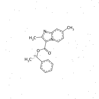 Cc1ccn2c(C(=O)O[C@@H](C)c3ccccc3)c(C)nc2c1